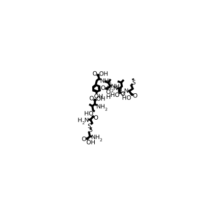 CC(C)C(N)C(=O)O.CC(C)CC(N)C(=O)O.CCC(C)C(N)C(=O)O.CSCCC(N)C(=O)O.NC(CSSCC(N)C(=O)O)C(=O)O.NC(Cc1ccc(O)cc1)C(=O)O